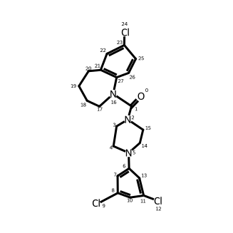 O=C(N1CCN(c2cc(Cl)cc(Cl)c2)CC1)N1CCCCc2cc(Cl)ccc21